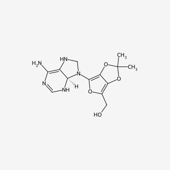 CC1(C)Oc2c(CO)oc(N3CNC4=C(N)N=CN[C@@H]43)c2O1